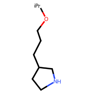 CC(C)OCCCC1CCNC1